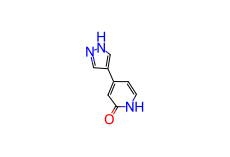 O=c1cc(-c2cn[nH]c2)cc[nH]1